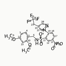 COc1ccc(CNS(=O)(=O)c2cc([N+](=O)[O-])ccc2-n2cc(CC(F)(F)F)cn2)c(OC)c1